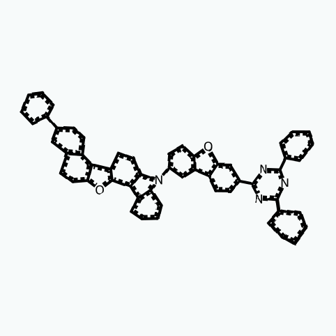 c1ccc(-c2ccc3c(ccc4oc5c(ccc6c5c5ccccc5n6-c5ccc6oc7cc(-c8nc(-c9ccccc9)nc(-c9ccccc9)n8)ccc7c6c5)c43)c2)cc1